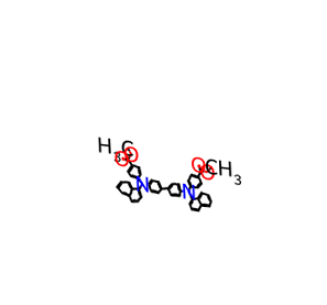 COC(=O)c1ccc(N(c2ccc(-c3ccc(N(c4ccc(C(=O)OC)cc4)c4cccc5ccccc45)cc3)cc2)c2cccc3ccccc23)cc1